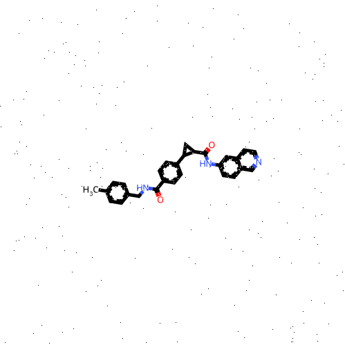 Cc1ccc(CNC(=O)c2ccc(C3CC3C(=O)Nc3ccc4cnccc4c3)cc2)cc1